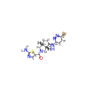 CN(C)c1ncc(C(=O)N2C[C@@H]3CC[C@@H](Nc4ccc(Br)nn4)[C@@H]3C2)s1